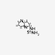 NC(=S)Nc1ccc2ncccc2n1